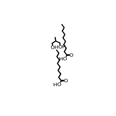 CC(CO)CO.CCCCCCCCCC(=O)O.CCCCCCCCCC(=O)O